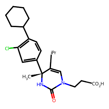 CC(C)C1=CN(CCC(=O)O)C(=O)N[C@]1(C)c1ccc(C2CCCCC2)c(Cl)c1